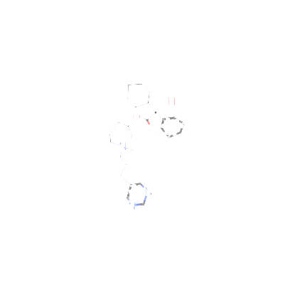 C[N+]1(CCCc2cncnc2)CCCC(OC(=O)C(O)(c2ccccc2)C2CCCCC2)C1